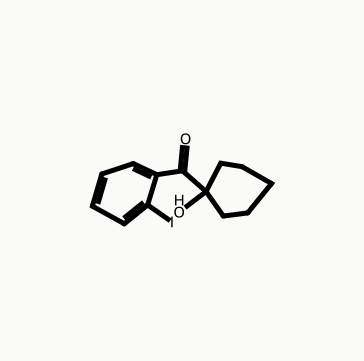 O=C(c1ccccc1I)C1(O)CCCCC1